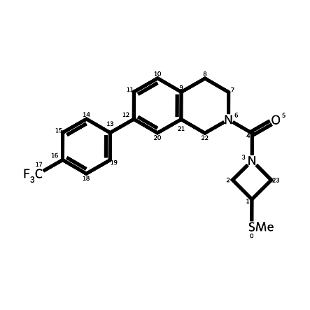 CSC1CN(C(=O)N2CCc3ccc(-c4ccc(C(F)(F)F)cc4)cc3C2)C1